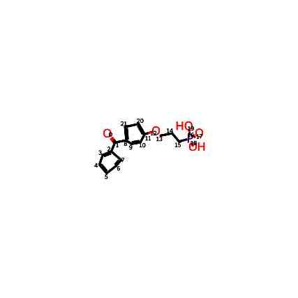 O=C(c1ccccc1)c1ccc(OCCCP(=O)(O)O)cc1